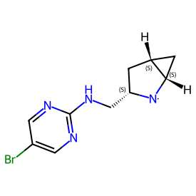 Brc1cnc(NC[C@@H]2C[C@@H]3C[C@@H]3[N]2)nc1